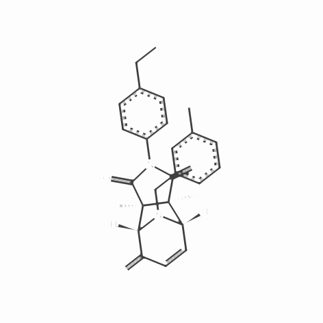 CCc1ccc(N2C(=O)[C@@H]3[C@H](C2=O)[C@H]2C(=O)C=C[C@@H]3N2Cc2cccc(C)c2)cc1